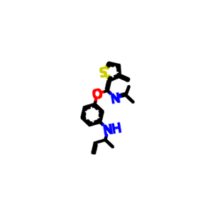 C=CC(C)Nc1cccc(O/C(N=C(C)C)=c2\sccc2=C)c1